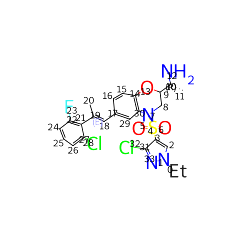 CCn1cc(S(=O)(=O)N2CC([C@@H](C)N)Oc3ccc(/C=C(\C)c4c(F)cccc4Cl)cc32)c(Cl)n1